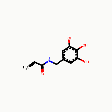 C=CC(=O)NCc1cc(O)c(O)c(O)c1